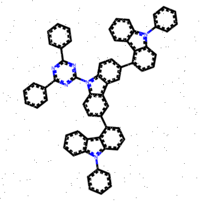 c1ccc(-c2nc(-c3ccccc3)nc(-n3c4ccc(-c5cccc6c5c5ccccc5n6-c5ccccc5)cc4c4cc(-c5cccc6c5c5ccccc5n6-c5ccccc5)ccc43)n2)cc1